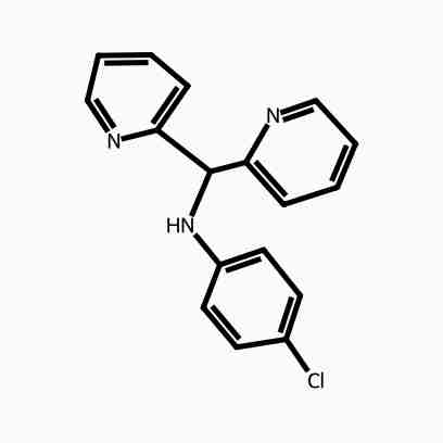 Clc1ccc(NC(c2ccccn2)c2ccccn2)cc1